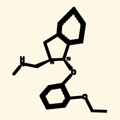 CCOc1ccccc1O[C@@H]1c2ccccc2C[C@@H]1CNC